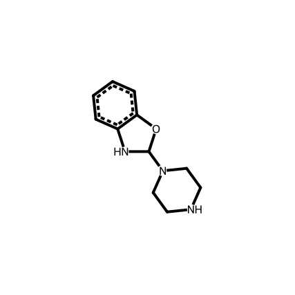 c1ccc2c(c1)NC(N1CCNCC1)O2